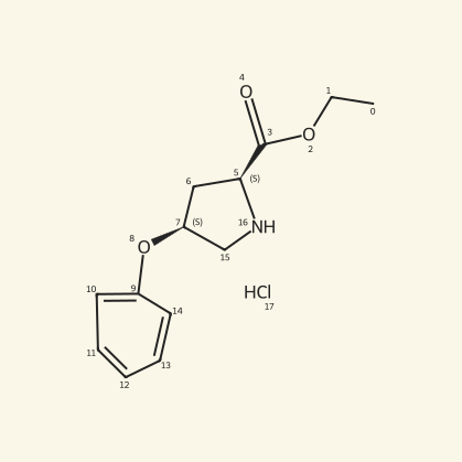 CCOC(=O)[C@@H]1C[C@H](Oc2ccccc2)CN1.Cl